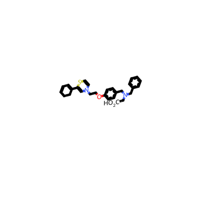 O=C(O)CN(Cc1ccccc1)Cc1ccc(OCCN2C=CSC(C3=CC=CCC3)=C2)cc1